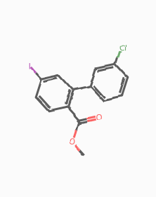 COC(=O)c1ccc(I)cc1-c1cccc(Cl)c1